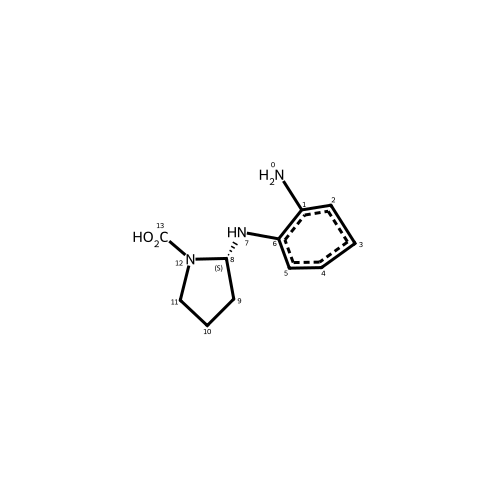 Nc1ccccc1N[C@@H]1CCCN1C(=O)O